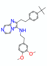 COc1ccc(CCNc2c(CCc3ccc(C(C)(C)C)cc3)nc3cnccn23)cc1OC